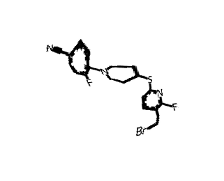 N#Cc1ccc(N2CCC(Sc3ccc(CBr)c(F)n3)CC2)c(F)c1